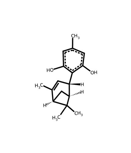 CC1=C[C@H](c2c(O)cc(C)cc2O)[C@@H]2C[C@H]1C2(C)C